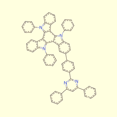 c1ccc(-c2cc(-c3ccccc3)nc(-c3ccc(-c4ccc5c(c4)c4c6c(c7ccccc7n6-c6ccccc6)c6c(c7ccccc7n6-c6ccccc6)c4n5-c4ccccc4)cc3)n2)cc1